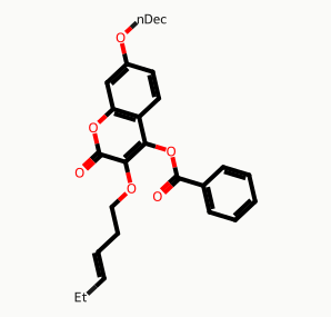 CCC=CCCOc1c(OC(=O)c2ccccc2)c2ccc(OCCCCCCCCCC)cc2oc1=O